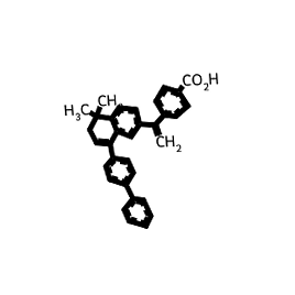 C=C(c1ccc(C(=O)O)cc1)c1ccc2c(c1)C(c1ccc(-c3ccccc3)cc1)=CCC2(C)C